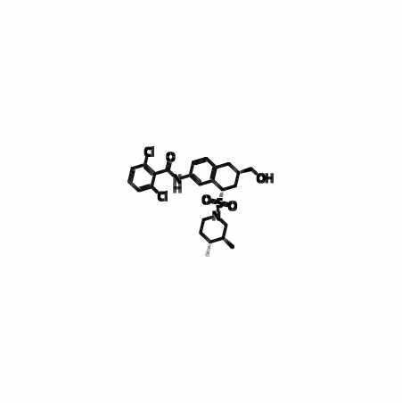 C[C@@H]1CCN(S(=O)(=O)[C@H]2C[C@H](CO)Cc3ccc(NC(=O)c4c(Cl)cccc4Cl)cc32)C[C@H]1C